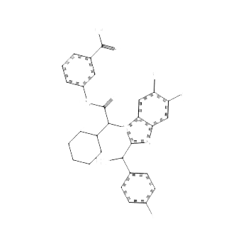 O=C(O)c1cccc(NC(=O)C(C2CCCCC2)n2c(C(O)c3ccc(F)cc3)nc3cc(F)c(F)cc32)c1